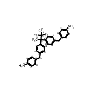 Nc1ccc(Cc2ccc(C(c3ccc(Cc4ccc(N)cc4)cc3)(C(F)(F)F)C(F)(F)C(F)(F)F)cc2)cc1